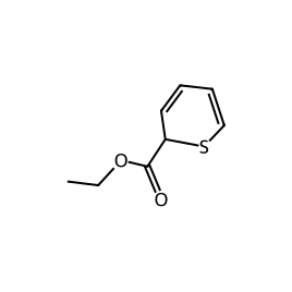 CCOC(=O)C1C=CC=CS1